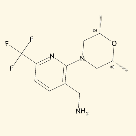 C[C@@H]1CN(c2nc(C(F)(F)F)ccc2CN)C[C@H](C)O1